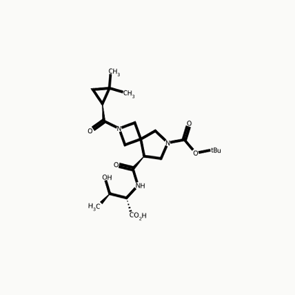 C[C@@H](O)[C@H](NC(=O)[C@@H]1CN(C(=O)OC(C)(C)C)CC12CN(C(=O)[C@H]1CC1(C)C)C2)C(=O)O